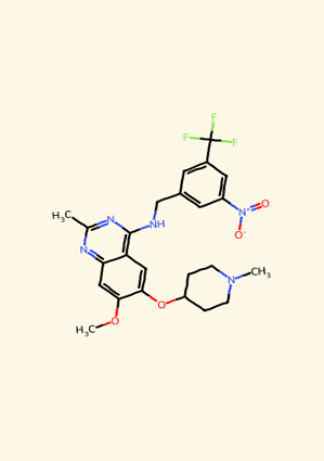 COc1cc2nc(C)nc(NCc3cc([N+](=O)[O-])cc(C(F)(F)F)c3)c2cc1OC1CCN(C)CC1